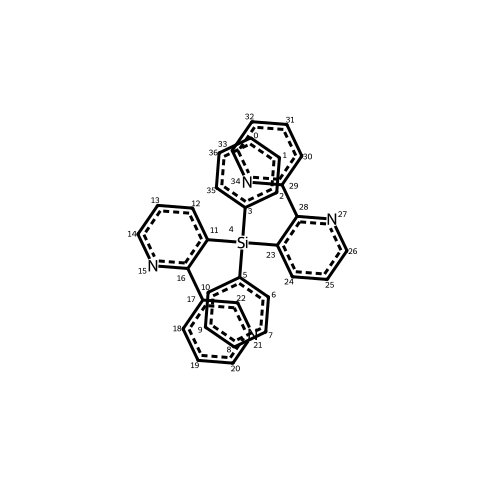 c1ccc([Si](c2ccccc2)(c2cccnc2-c2cccnc2)c2cccnc2-c2ccccn2)cc1